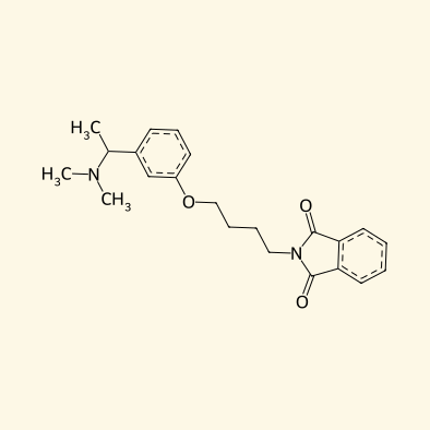 CC(c1cccc(OCCCCN2C(=O)c3ccccc3C2=O)c1)N(C)C